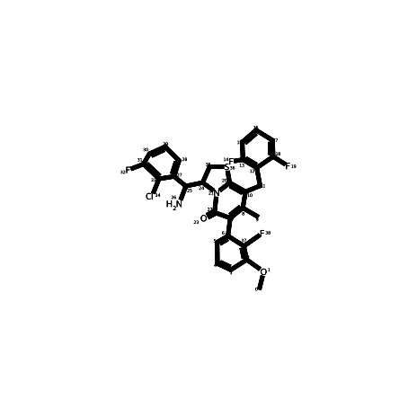 COc1cccc(-c2c(C)c(Cc3c(F)cccc3F)c3n(c2=O)C(C(N)c2cccc(F)c2Cl)CS3)c1F